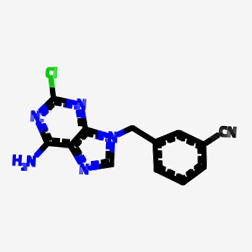 N#Cc1cccc(Cn2cnc3c(N)nc(Cl)nc32)c1